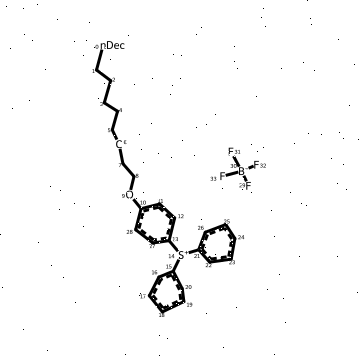 CCCCCCCCCCCCCCCCCCOc1ccc([S+](c2ccccc2)c2ccccc2)cc1.F[B-](F)(F)F